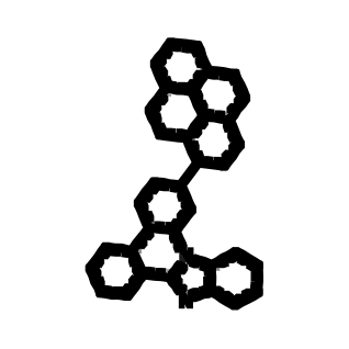 c1cc2ccc3ccc(-c4ccc5c6ccccc6c6nc7ccccc7n6c5c4)c4ccc(c1)c2c34